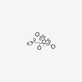 COc1c(OC(=O)c2ccccc2)c(C)c(C(CCC(=O)N2CCOCC2)c2ccccc2)c(OC(=O)c2ccccc2)c1OC